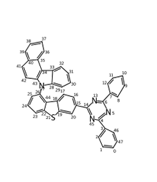 c1ccc(-c2nc(-c3ccccc3)nc(-c3ccc4c(c3)sc3cccc(-n5c6ccccc6c6c7ccccc7ccc65)c34)n2)cc1